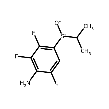 CC(C)[S+]([O-])c1cc(F)c(N)c(F)c1F